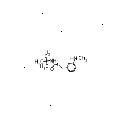 CNc1cccc(COC(=O)NC(C)(C)C)c1